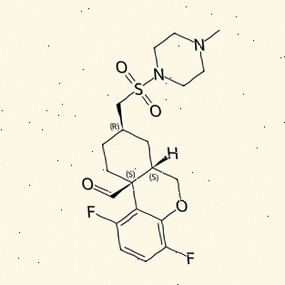 CN1CCN(S(=O)(=O)C[C@@H]2CC[C@@]3(C=O)c4c(F)ccc(F)c4OC[C@H]3C2)CC1